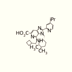 CC(C)c1ccnc(-c2nc3cc(C(=O)O)nc(N[C@H](C)C4CCC4)c3n2C[C@H]2CC[C@H](C)CC2)c1